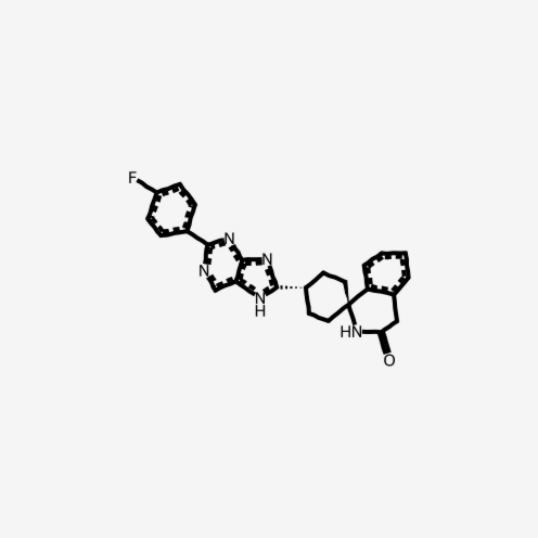 O=C1Cc2ccccc2[C@]2(CC[C@@H](c3nc4nc(-c5ccc(F)cc5)ncc4[nH]3)CC2)N1